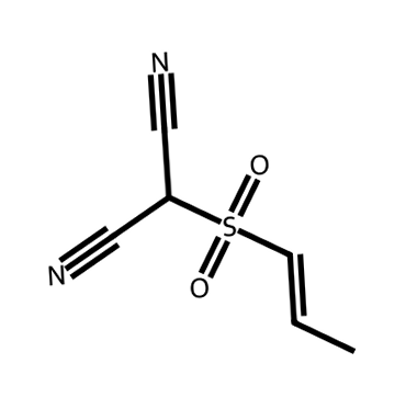 CC=CS(=O)(=O)C(C#N)C#N